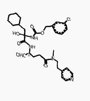 CN(CCc1ccncc1)C(=O)CC[C@@H](C=O)NC(=O)C(O)(CC1CCCCC1)NC(=O)OCc1cccc(Cl)c1